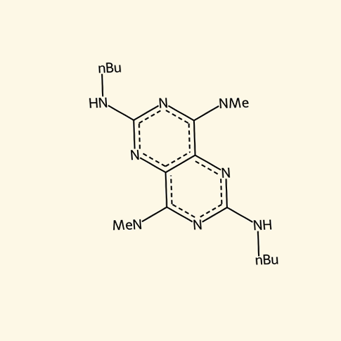 CCCCNc1nc(NC)c2nc(NCCCC)nc(NC)c2n1